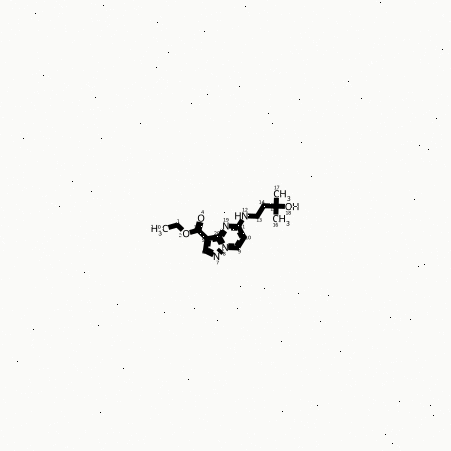 CCOC(=O)c1cnn2ccc(NCCC(C)(C)O)nc12